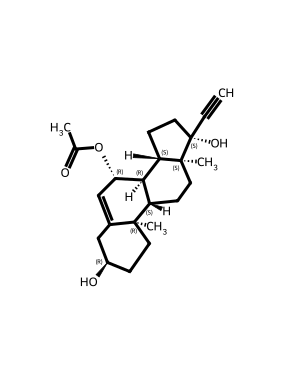 C#C[C@]1(O)CC[C@H]2[C@@H]3[C@@H](OC(C)=O)C=C4C[C@H](O)CC[C@]4(C)[C@H]3CC[C@@]21C